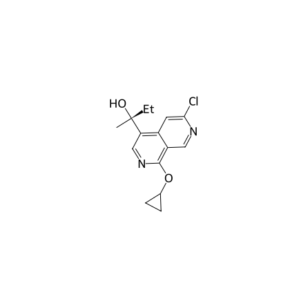 CC[C@@](C)(O)c1cnc(OC2CC2)c2cnc(Cl)cc12